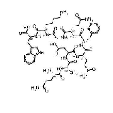 C[C@H](NC(=O)[C@@H](N)CCC(N)=O)C(=O)N[C@@H](CC(=O)O)C(=O)N[C@@H](CCC(N)=O)C(=O)N[C@@H](Cc1ccccc1)C(=O)N[C@@H](CCC(N)=O)C(=O)NCC(=O)N[C@@H](CCCCN)C(=O)N[C@@H](Cc1c[nH]c2ccccc12)C(=O)O